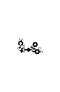 CC1(C)N=C(C23CC(N(Cc4ccc(Cl)c(Cl)c4)S(=O)(=O)c4ccccc4)(C2)C3)N[C@H]1C(=O)N1CCC(F)(F)CC1